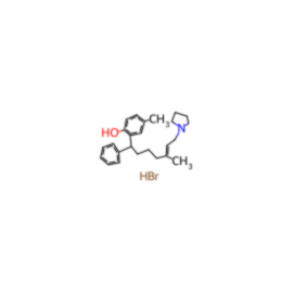 Br.CC(=CCN1CCCC1)CCCC(c1ccccc1)c1cc(C)ccc1O